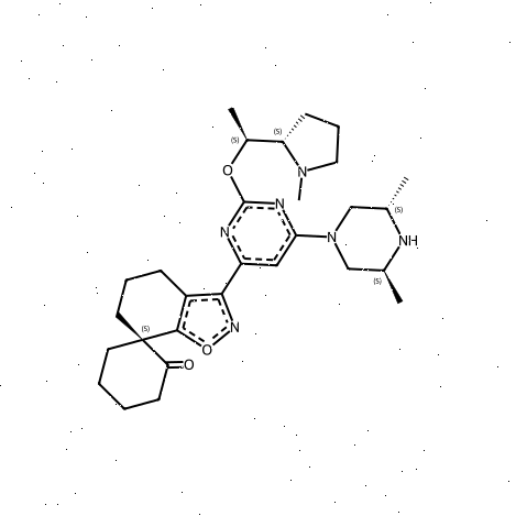 C[C@H](Oc1nc(-c2noc3c2CCC[C@@]32CCCCC2=O)cc(N2C[C@H](C)N[C@@H](C)C2)n1)[C@@H]1CCCN1C